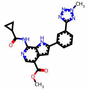 COC(=O)c1cnc(NC(=O)C2CC2)c2[nH]c(-c3cccc(-c4nnn(C)n4)c3)cc12